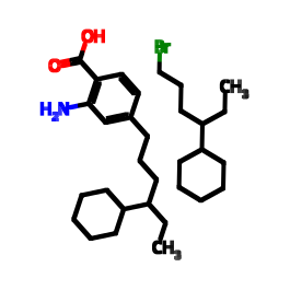 CCC(CCCBr)C1CCCCC1.CCC(CCCc1ccc(C(=O)O)c(N)c1)C1CCCCC1